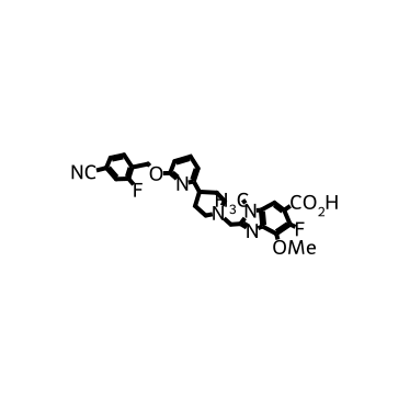 COc1c(F)c(C(=O)O)cc2c1nc(CN1CCC(c3cccc(OCc4ccc(C#N)cc4F)n3)CC1)n2C